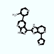 Cc1ccncc1-c1cnc2[nH]nc(-c3nc4c(-c5ccsc5)nccc4[nH]3)c2c1